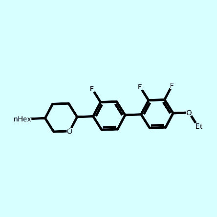 CCCCCCC1CCC(c2ccc(-c3ccc(OCC)c(F)c3F)cc2F)OC1